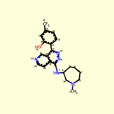 CN1CCCCC(Nc2nnc(-c3ccc(C(F)(F)F)cc3O)c3cnccc23)C1